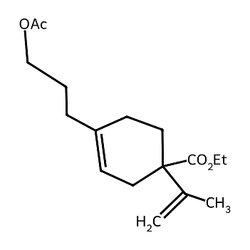 C=C(C)C1(C(=O)OCC)CC=C(CCCOC(C)=O)CC1